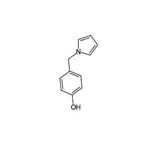 Oc1ccc(Cn2cccc2)cc1